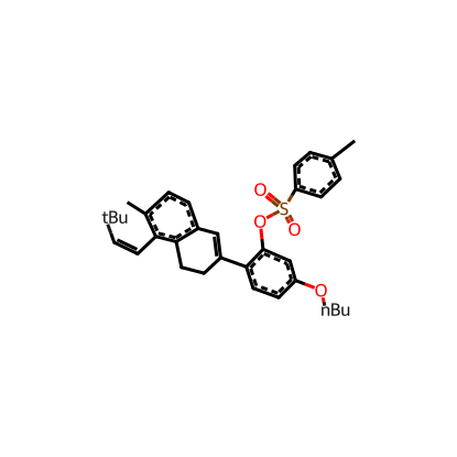 CCCCOc1ccc(C2=Cc3ccc(C)c(/C=C\C(C)(C)C)c3CC2)c(OS(=O)(=O)c2ccc(C)cc2)c1